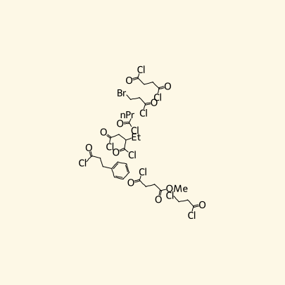 CCC(CC(=O)Cl)C(=O)Cl.CCCC(=O)Cl.COC(=O)CCC(=O)Cl.O=C(Cl)CCBr.O=C(Cl)CCC(=O)Cl.O=C(Cl)CCCl.O=C(Cl)CCc1ccccc1